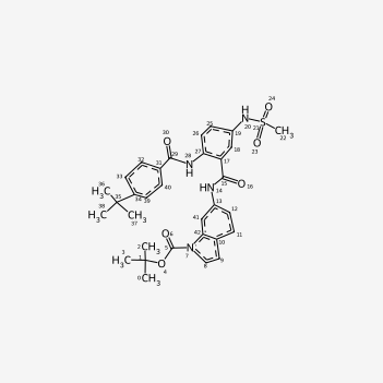 CC(C)(C)OC(=O)n1ccc2ccc(NC(=O)c3cc(NS(C)(=O)=O)ccc3NC(=O)c3ccc(C(C)(C)C)cc3)cc21